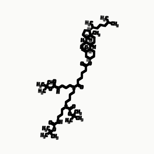 CC(C)CCCC(C)[C@H]1CC[C@H]2[C@@H]3CC=C4C[C@@H](OC(=O)CCCCC(=O)N(CCCCN(CCCNC(=O)OC(C)(C)C)C(=O)OC(C)(C)C)CCCNC(=O)OC(C)(C)C)CC[C@]4(C)[C@H]3CC[C@]12C